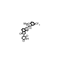 COc1ccc(C(F)(F)F)cc1NC(=O)NCc1ccc2c(c1F)CN(C1CCC(=O)NC1=O)C2=O